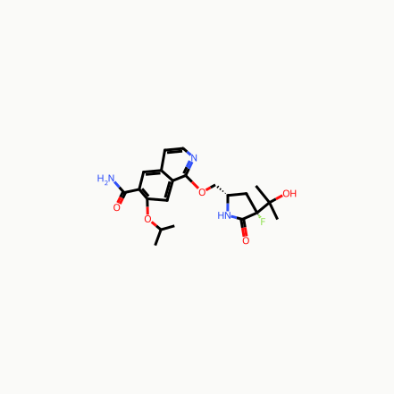 CC(C)Oc1cc2c(OC[C@@H]3C[C@@](F)(C(C)(C)O)C(=O)N3)nccc2cc1C(N)=O